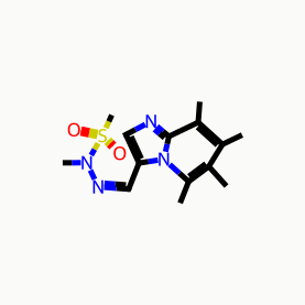 Cc1c(C)c(C)n2c(/C=N\N(C)S(C)(=O)=O)cnc2c1C